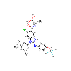 C[C@H]1C[C@@H](n2c(Nc3ccc(OC(F)(F)F)cc3)nc3cc(C(=O)N[C@@H](C)C(=O)O)c(Cl)cc32)CC(C)(C)C1